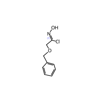 O/N=C(\Cl)COCc1ccccc1